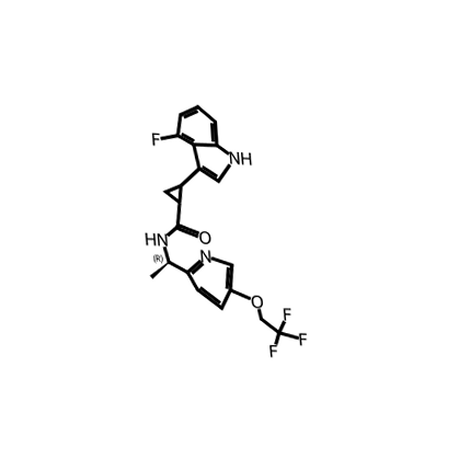 C[C@@H](NC(=O)C1CC1c1c[nH]c2cccc(F)c12)c1ccc(OCC(F)(F)F)cn1